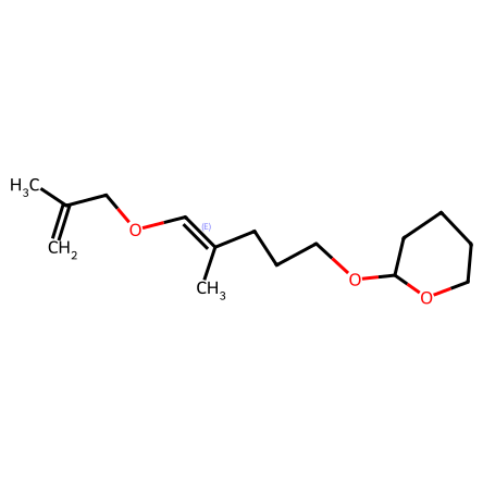 C=C(C)CO/C=C(\C)CCCOC1CCCCO1